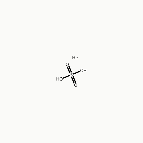 O=S(=O)(O)O.[He]